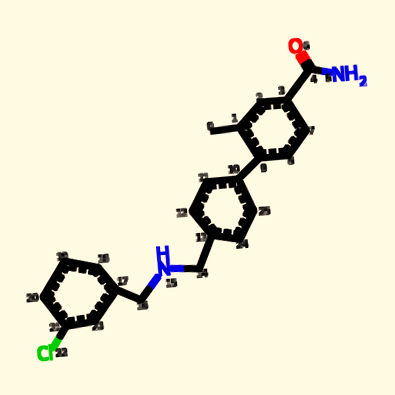 Cc1cc(C(N)=O)ccc1-c1ccc(CNCc2cccc(Cl)c2)cc1